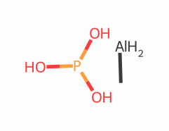 OP(O)O.[CH3][AlH2]